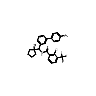 CC(=O)c1ccc(-c2cccc(C(NC(=O)c3cccc(C(F)(F)I)c3Cl)C3(O)CCCC3)c2)cc1